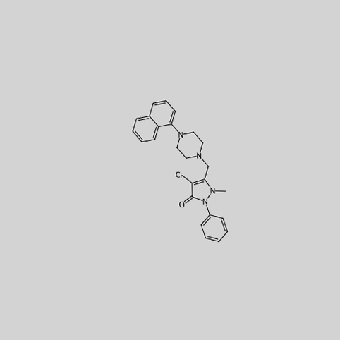 Cn1c(CN2CCN(c3cccc4ccccc34)CC2)c(Cl)c(=O)n1-c1ccccc1